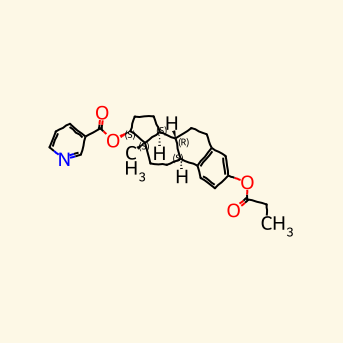 CCC(=O)Oc1ccc2c(c1)CC[C@@H]1[C@@H]2CC[C@]2(C)[C@@H](OC(=O)c3cccnc3)CC[C@@H]12